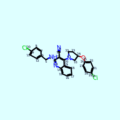 N#Cc1c(NCc2ccc(Cl)cc2)nc2ccccc2c1N1CCC(Oc2ccc(Cl)cc2)C1